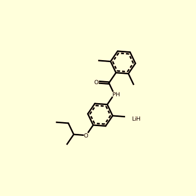 CCC(C)Oc1ccc(PC(=O)c2c(C)cccc2C)c(C)c1.[LiH]